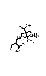 CCC(CCCC(CC)(C(=O)O)C(C)(C)C)C(=O)O